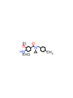 CCOc1cc(C(=O)N(Cc2ccc(C)cc2)C2CC2)ccc1NC=O